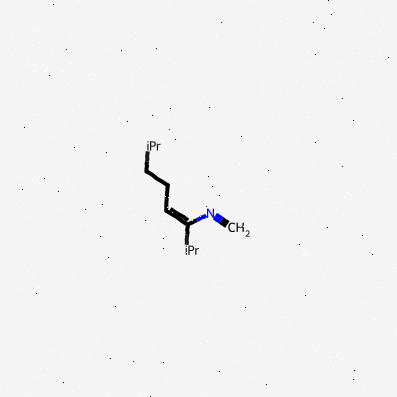 C=N/C(=C\CCC(C)C)C(C)C